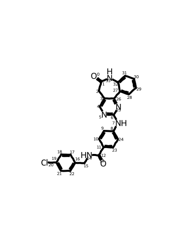 O=C1Cc2cnc(Nc3ccc(C(=O)NCc4ccc(Cl)cc4)cc3)nc2-c2ccccc2N1